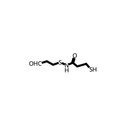 O=CCCSNC(=O)CCS